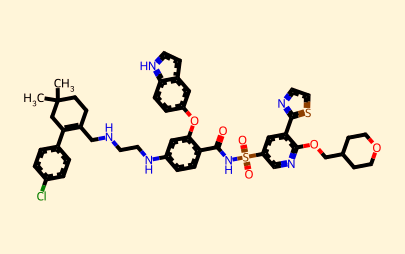 CC1(C)CCC(CNCCNc2ccc(C(=O)NS(=O)(=O)c3cnc(OCC4CCOCC4)c(-c4nccs4)c3)c(Oc3ccc4[nH]ccc4c3)c2)=C(c2ccc(Cl)cc2)C1